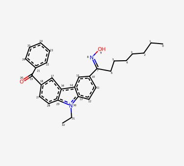 CCCCCCCC(=NO)c1ccc2c(c1)c1cc(C(=O)c3ccccc3)ccc1n2CC